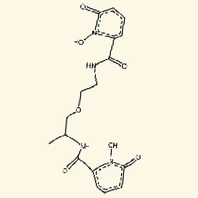 CC(COCCNC(=O)c1cccc(=O)n1O)NC(=O)c1cccc(=O)n1O